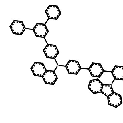 c1ccc(-c2cc(-c3ccccc3)cc(-c3ccc(N(c4ccc(-c5ccc(-c6ccccc6-n6c7ccccc7c7ccccc76)cc5)cc4)c4cccc5ccccc45)cc3)c2)cc1